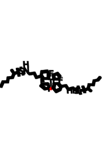 CCCCCC(C)C(C)(C)[Si](C)(C)NCCCc1ccc(F)[c]([Ti]([C]2=CC=CC2)([C]2=CC=CC2)[c]2c(F)ccc(CCCN[Si](C)(C)C(C)(C)C(C)CCCCC)c2F)c1F